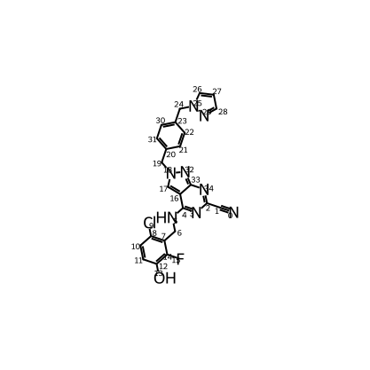 N#Cc1nc(NCc2c(Cl)ccc(O)c2F)c2cn(Cc3ccc(Cn4cccn4)cc3)nc2n1